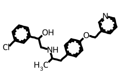 CC(Cc1ccc(OCc2cccnc2)cc1)NCC(O)c1cccc(Cl)c1